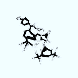 COC(c1ccc(Cl)cc1)c1ccc(C(F)(F)F)cc1CN1C(=O)O[C@H](c2cc(C(F)(F)F)cc(C(F)(F)F)c2)[C@@H]1C